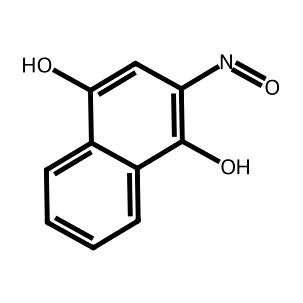 O=Nc1cc(O)c2ccccc2c1O